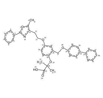 Cc1oc(-c2ccccc2)nc1CCOc1ccc(OC(C)(C)C(=O)O)c(COc2ccc(-c3ccccc3)cc2)c1